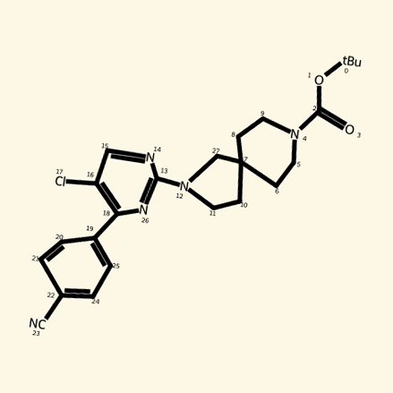 CC(C)(C)OC(=O)N1CCC2(CC1)CCN(c1ncc(Cl)c(-c3ccc(C#N)cc3)n1)C2